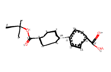 CC(C)(C)OC(=O)[C@H]1CC[C@H](c2ccc(C(=O)O)cc2)CC1